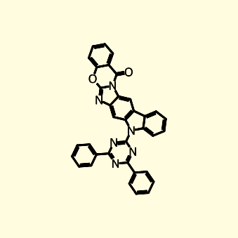 O=c1c2ccccc2oc2nc3cc4c(cc3n12)c1ccccc1n4-c1nc(-c2ccccc2)nc(-c2ccccc2)n1